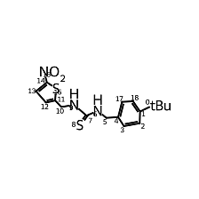 CC(C)(C)c1ccc(CNC(=S)NCc2ccc([N+](=O)[O-])s2)cc1